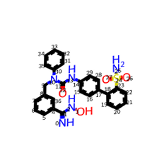 N=C(NO)c1cccc(CN(C(=O)Nc2ccc(-c3ccccc3S(N)(=O)=O)cc2)c2ccccc2)c1